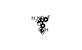 CC1(C)Oc2cc(NS(C)(=O)=O)ccc2C(c2ccc(F)cc2)=C1C(N)=O